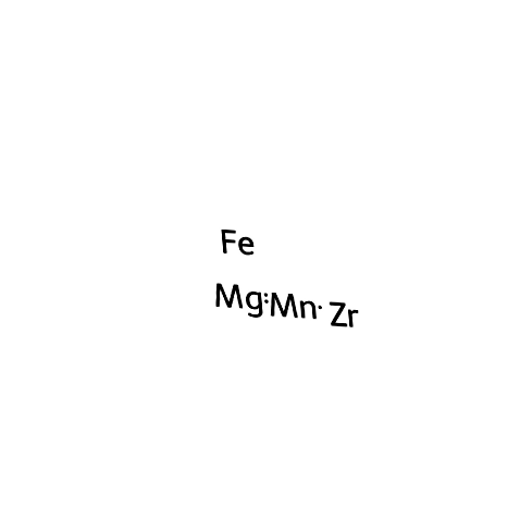 [Fe].[Mg].[Mn].[Zr]